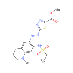 CC(C)N1CCCc2cc(N=Nc3nnc(C(=O)OC(C)(C)C)s3)c(NS(=O)(=O)CC(F)(F)F)cc21